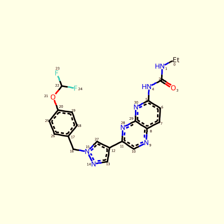 CCNC(=O)Nc1ccc2ncc(-c3cnn(Cc4ccc(OC(F)F)cc4)c3)nc2n1